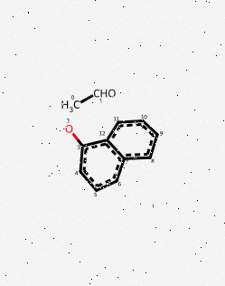 CC=O.[O]c1cccc2ccccc12